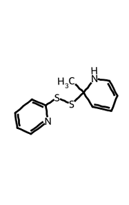 CC1(SSc2ccccn2)C=CC=CN1